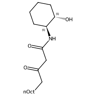 CCCCCCCCCC(=O)CC(=O)N[C@H]1CCCC[C@@H]1O